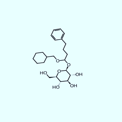 OC[C@H]1O[C@@H](OC(CCCc2ccccc2)OCC2CCCCC2)[C@H](O)[C@@H](O)[C@@H]1O